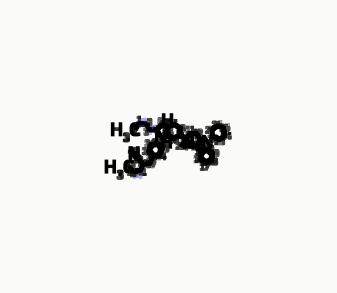 C/C=C\C=C1/C[C@H]2CC=C(C34CCc5c(c6ccccc6n5C5=CC=CCC5)[C@@H]3C4)C[C@H]2N1c1ccc(CC(C#N)/C=C\C)cc1